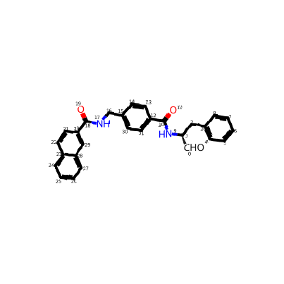 O=C[C@H](Cc1ccccc1)NC(=O)c1ccc(CNC(=O)c2ccc3ccccc3c2)cc1